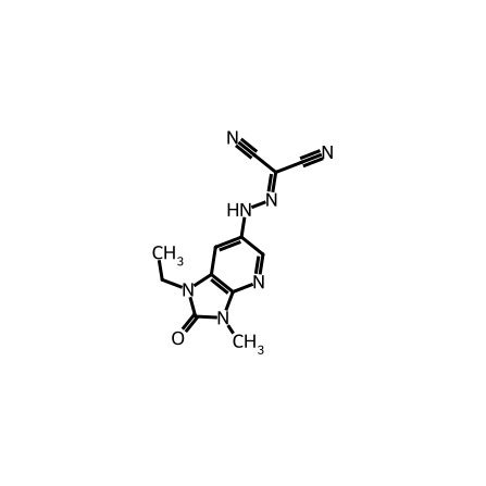 CCn1c(=O)n(C)c2ncc(NN=C(C#N)C#N)cc21